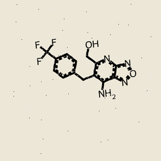 Nc1c(Cc2ccc(C(F)(F)F)cc2)c(CO)nc2nonc12